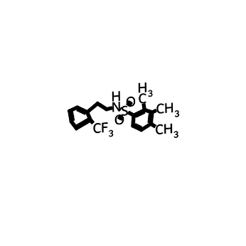 Cc1ccc(S(=O)(=O)NCCc2ccccc2C(F)(F)F)c(C)c1C